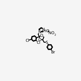 Clc1ccc(C2(Cn3ccnc3)OCC(CSc3ccc(Br)cc3)O2)c(Cl)c1.O=[N+]([O-])O